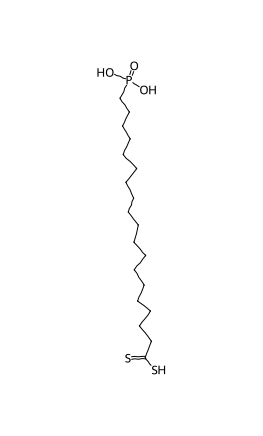 O=P(O)(O)CCCCCCCCCCCCCCCCCCC(=S)S